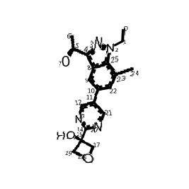 CCn1nc(C(C)=O)c2cc(-c3cnc(C4(O)COC4)nc3)cc(C)c21